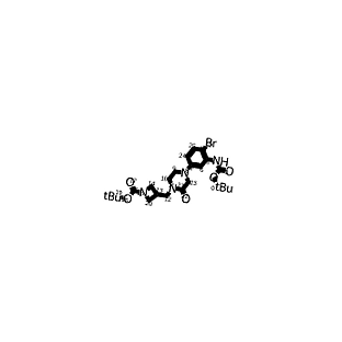 CC(C)(C)OC(=O)Nc1cc(N2CCN(CC3CN(C(=O)OC(C)(C)C)C3)C(=O)C2)ccc1Br